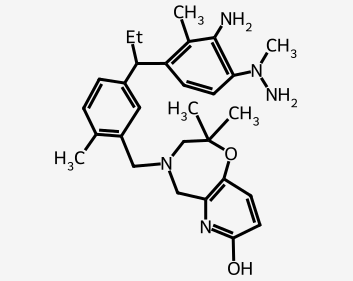 CCC(c1ccc(C)c(CN2Cc3nc(O)ccc3OC(C)(C)C2)c1)c1ccc(N(C)N)c(N)c1C